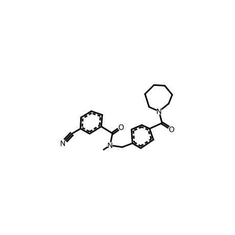 CN(Cc1ccc(C(=O)N2CCCCCC2)cc1)C(=O)c1cccc(C#N)c1